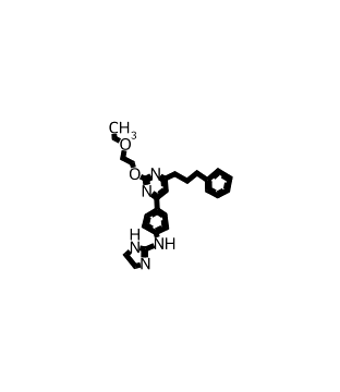 CCOCCOc1nc(CCCc2ccccc2)cc(-c2ccc(NC3=NCCN3)cc2)n1